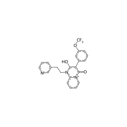 O=c1c(-c2cccc(OC(F)(F)F)c2)c(O)n(CCc2cccnc2)c2cccc[n+]12